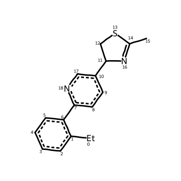 CCc1ccccc1-c1ccc(C2CSC(C)=N2)cn1